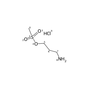 CS(=O)(=O)OCCCN.Cl